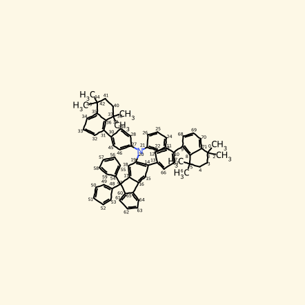 CC1(C)CCC(C)(C)c2c(-c3ccc(-c4cc5c(cc4N(c4ccccc4)c4ccc(-c6cccc7c6C(C)(C)CCC7(C)C)cc4)C(c4ccccc4)(c4ccccc4)c4ccccc4-5)cc3)cccc21